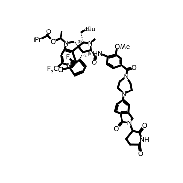 COc1cc(C(=O)N2CCN(c3ccc4c(c3)CN(C3CCC(=O)NC3=O)C4=O)CC2)ccc1NC(=O)[C@H]1[C@H](c2cccc(Cl)c2F)[C@]2(CN(C(C)OC(=O)C(C)C)c3cc(C(F)(F)F)ncc32)[C@H](CC(C)(C)C)N1C